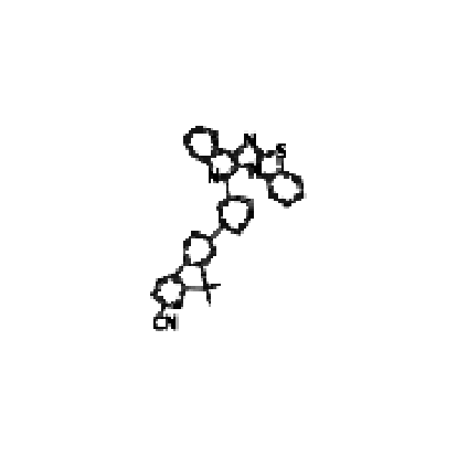 CC1(C)c2cc(C#N)ccc2-c2ccc(-c3cccc(-c4nc5ccccc5c5nc6sc7ccccc7n6c45)c3)cc21